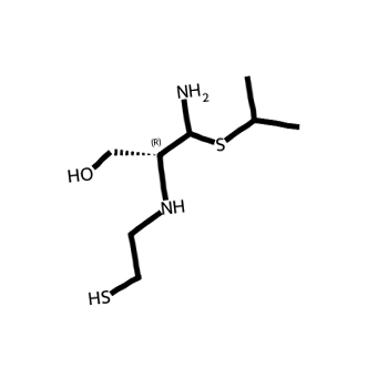 CC(C)SC(N)[C@@H](CO)NCCS